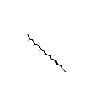 [CH2]OC/C=C/CCCCCCCCCC